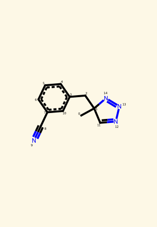 CC1(Cc2cccc(C#N)c2)C=NN=N1